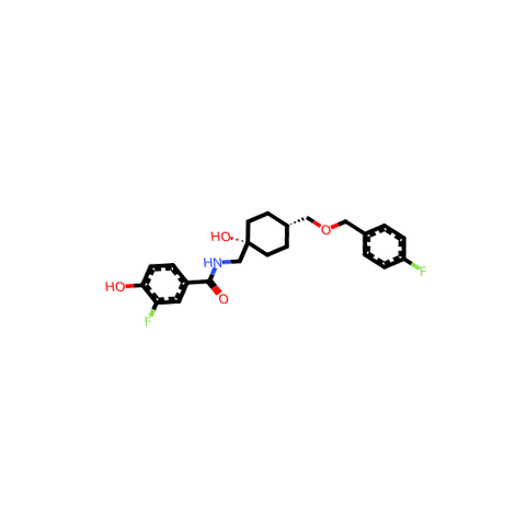 O=C(NC[C@]1(O)CC[C@@H](COCc2ccc(F)cc2)CC1)c1ccc(O)c(F)c1